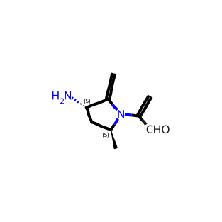 C=C(C=O)N1C(=C)[C@@H](N)C[C@@H]1C